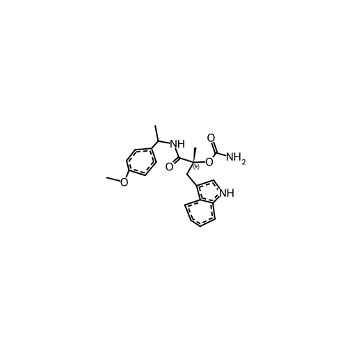 COc1ccc(C(C)NC(=O)[C@@](C)(Cc2c[nH]c3ccccc23)OC(N)=O)cc1